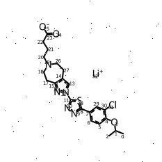 CC(C)Oc1ccc(-c2nnc(-n3cc4c(n3)CCN(CCCC(=O)[O-])CC4)s2)cc1Cl.[Li+]